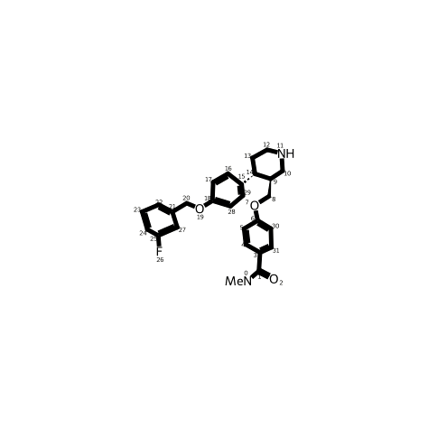 CNC(=O)c1ccc(OC[C@@H]2CNCC[C@H]2c2ccc(OCc3cccc(F)c3)cc2)cc1